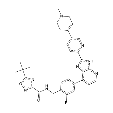 CN1CC=C(c2ccc(-c3nc4c(-c5ccc(CNC(=O)c6noc(C(C)(C)C)n6)c(F)c5)ccnc4[nH]3)nc2)CC1